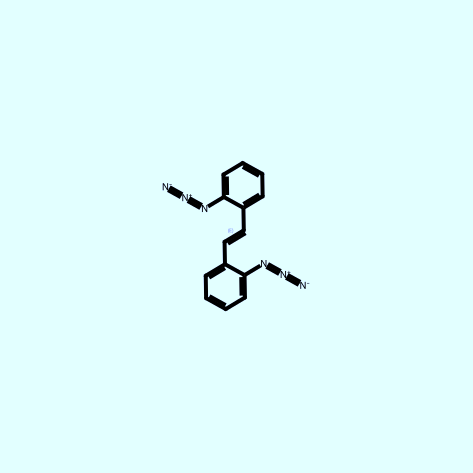 [N-]=[N+]=Nc1ccccc1/C=C/c1ccccc1N=[N+]=[N-]